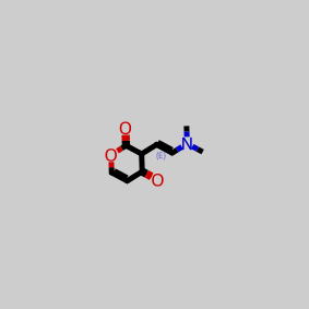 CN(C)/C=C/C1C(=O)C=COC1=O